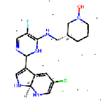 ON1CCC[C@H](CNC2=C(F)C=NC(C3=CN[C@@H]4NC=C(Cl)C=C34)N2)C1